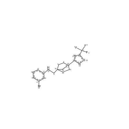 FC(F)(F)c1nc(C23CCC(CNc4cccc(Br)c4)(CC2)CC3)no1